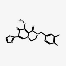 CCCCOc1c2n(cc(-c3nccs3)c1=O)CCN(Cc1ccc(F)c(F)c1)C2=O